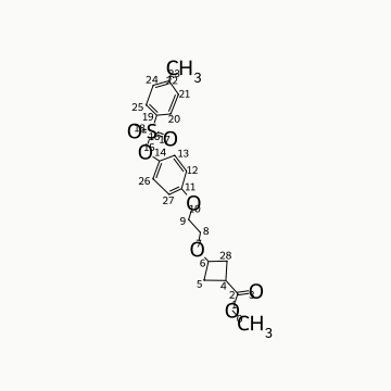 COC(=O)C1CC(OCCOc2ccc(OS(=O)(=O)c3ccc(C)cc3)cc2)C1